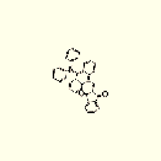 O=C1C(=CC2=c3ccccc3=C(N(c3ccccc3)c3ccccc3)C3C=CC=CC23)C(=O)c2ccccc21